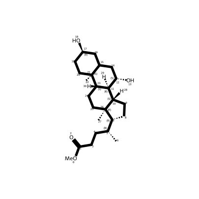 COC(=O)CC[C@@H](C)[C@H]1CC[C@H]2[C@@H]3[C@@H](O)CC4C[C@H](O)CC[C@]4(C)[C@H]3CC[C@]12C